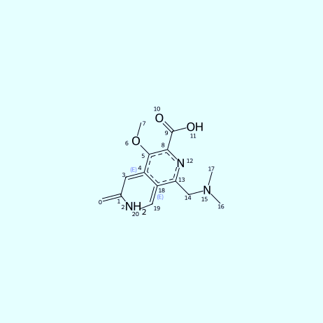 C=C(N)/C=c1/c(OC)c(C(=O)O)nc(CN(C)C)/c1=C/C